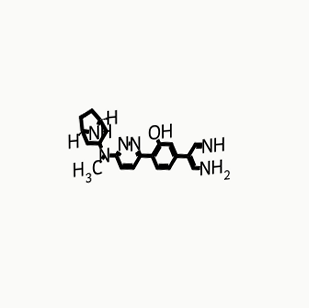 CN(c1ccc(-c2ccc(/C(C=N)=C/N)cc2O)nn1)C1C[C@H]2CC[C@@H](C1)N2